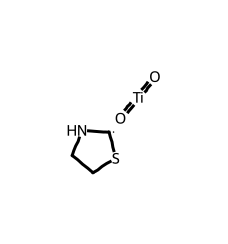 [CH]1NCCS1.[O]=[Ti]=[O]